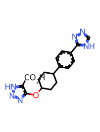 O=C(O)c1[nH]nnc1OC1CCC(c2ccc(-c3nnc[nH]3)cc2)CC1